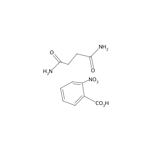 NC(=O)CCC(N)=O.O=C(O)c1ccccc1[N+](=O)[O-]